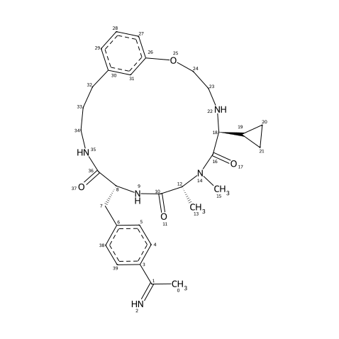 CC(=N)c1ccc(C[C@H]2NC(=O)[C@@H](C)N(C)C(=O)[C@H](C3CC3)NCCOc3cccc(c3)CCCNC2=O)cc1